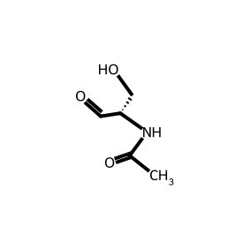 CC(=O)N[C@H](C=O)CO